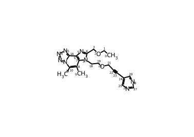 CCOCc1nc2c(c(C)c(C)n3nnnc23)n1CCOCC#Cc1cncnc1